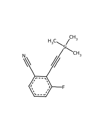 C[Si](C)(C)C#Cc1c(F)cccc1C#N